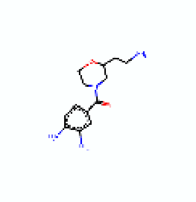 NCCC1CN(C(=O)c2ccc(N)c(N)c2)CCO1